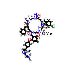 COC[C@@H]1NC(=O)[C@H](C)N(Cc2ccc(F)cc2Oc2ccc(-c3cnc(CN(C)C)n3C)cc2)C(=O)C[C@@H](Cc2ccccc2)C(=O)N(C)[C@@H](C)CNC(=O)C[C@H](Cc2ccc(Cl)cc2)N(C)C1=O